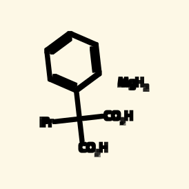 CC(C)C(C(=O)O)(C(=O)O)c1ccccc1.[MgH2]